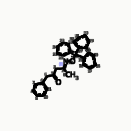 C/C(CC(=O)Cc1ccccc1)=N\O[Si](c1ccccc1)(c1ccccc1)c1ccccc1